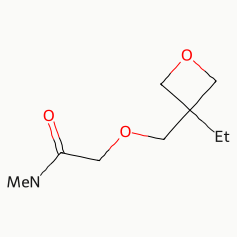 CCC1(COCC(=O)NC)COC1